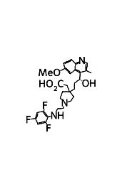 COc1ccc2ncc(C)c([C@H](O)CCC3(CC(=O)O)CCN(CCNc4c(F)cc(F)cc4F)CC3)c2c1